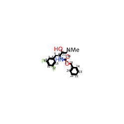 CNC[C@@H](O)[C@H](Cc1cc(F)cc(F)c1)NC(=O)OCc1ccccc1